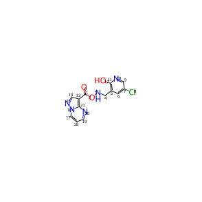 O=C(ONCc1cc(Cl)cnc1O)c1cnn2cccnc12